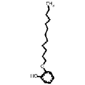 CCCCCCCCCCCCOc1ccccc1O